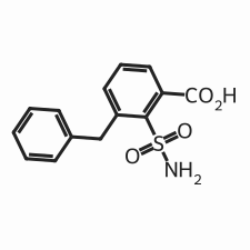 NS(=O)(=O)c1c(Cc2ccccc2)cccc1C(=O)O